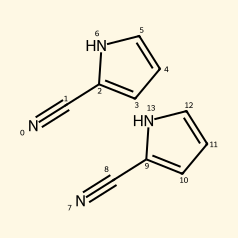 N#Cc1ccc[nH]1.N#Cc1ccc[nH]1